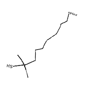 CCCCCCCCCCCCCC(C)(C)S